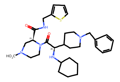 O=C(NCc1cccs1)[C@@H]1CN(C(=O)O)CCN1C(=O)[C@H](NC1CCCCC1)C1CCN(Cc2ccccc2)CC1